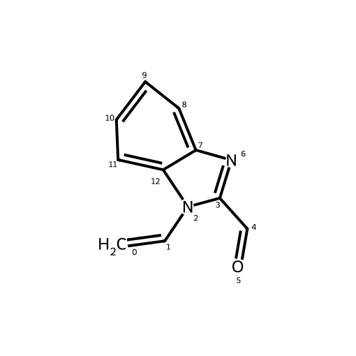 C=Cn1c(C=O)nc2ccccc21